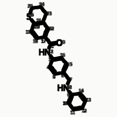 O=C(Nc1ccc(CNc2ccccc2)cc1)c1ccc2c(c1)CCCS2